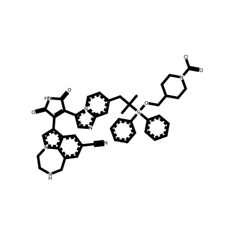 CC(C)(Cc1ccn2c(C3=C(c4cn5c6c(cc(C#N)cc46)CNCC5)C(=O)NC3=O)cnc2c1)[Si](OCC1CCN(C(=O)Cl)CC1)(c1ccccc1)c1ccccc1